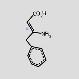 N/C(=C\C(=O)O)Cc1ccccc1